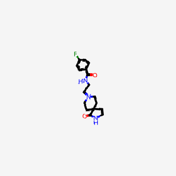 O=C(NCCN1CCC2(CCNC2=O)CC1)c1ccc(F)cc1